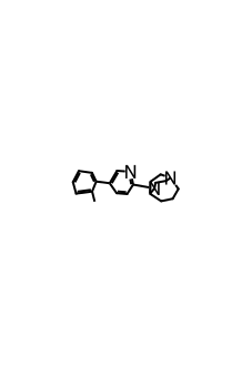 Cc1ccccc1-c1ccc(N2CCN3CCCC2CC3)nc1